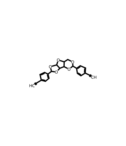 C#Cc1ccc(C2OCC3OC4OC(c5ccc(C#C)cc5)OC4C3O2)cc1